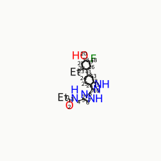 CCC(=O)NCc1c[nH]c(-c2n[nH]c3cc(-c4cc(F)c(O)cc4CC)ccc23)n1